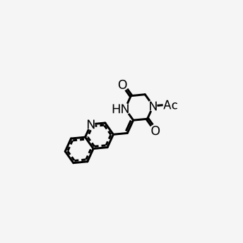 CC(=O)N1CC(=O)N/C(=C\c2cnc3ccccc3c2)C1=O